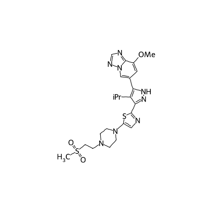 COc1cc(-c2[nH]nc(-c3ncc(N4CCN(CCS(C)(=O)=O)CC4)s3)c2C(C)C)cn2ncnc12